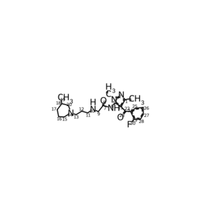 Cc1nn(C)c(NC(=O)CNCCCN2CCCC(C)C2)c1C(=O)c1ccccc1F